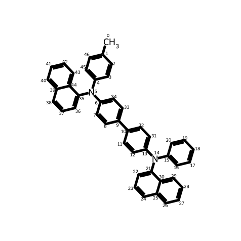 Cc1ccc(N(c2ccc(-c3ccc(N(c4ccccc4)c4cccc5ccccc45)cc3)cc2)c2cccc3ccccc23)cc1